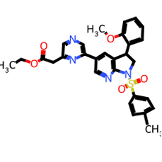 CCOC(=O)Cc1cncc(-c2cnc3c(c2)C(c2ccccc2OC)CN3S(=O)(=O)c2ccc(C)cc2)n1